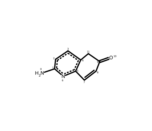 Nc1ccc2c(n1)C=CC(=O)C2